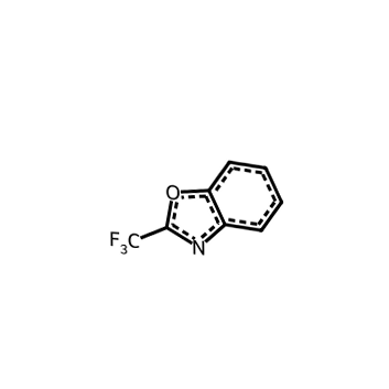 FC(F)(F)c1nc2ccccc2o1